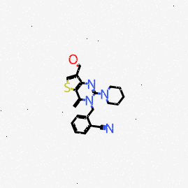 C=C1c2scc(C=O)c2N=C(N2CCCCC2)N1Cc1ccccc1C#N